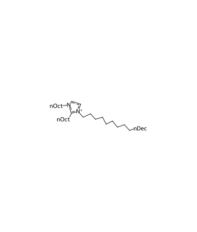 CCCCCCCCCCCCCCCCCCC[n+]1ccn(CCCCCCCC)c1CCCCCCCC